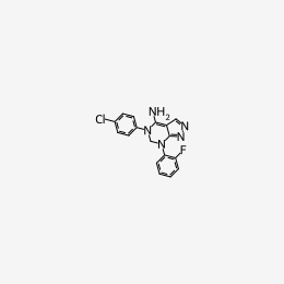 NC1=C2C=NN=C2N(c2ccccc2F)CN1c1ccc(Cl)cc1